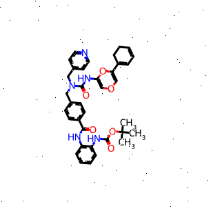 CC(C)(C)OC(=O)Nc1ccccc1NC(=O)c1ccc(CN(Cc2ccncc2)C(=O)NC2=COC=C(C3=CC=CCC3)O2)cc1